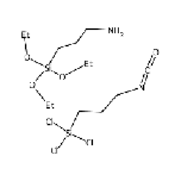 CCO[Si](CCCN)(OCC)OCC.O=C=NCCC[Si](Cl)(Cl)Cl